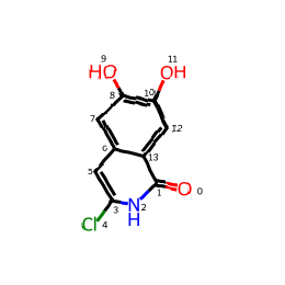 O=c1[nH]c(Cl)cc2cc(O)c(O)cc12